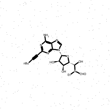 CCCCC#Cc1nc(N)c2ncn([C@@H]3O[C@H](C(O)N(C=O)CC)[C@@H](O)[C@H]3O)c2n1